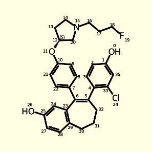 Oc1ccc(C2=C(c3ccc(O[C@H]4CCN(CCCF)C4)cc3)c3cc(O)ccc3CCC2)c(Cl)c1